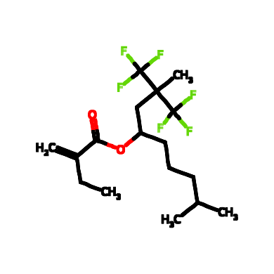 C=C(CC)C(=O)OC(CCCC(C)C)CC(C)(C(F)(F)F)C(F)(F)F